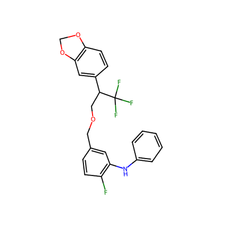 Fc1ccc(COCC(c2ccc3c(c2)OCO3)C(F)(F)F)cc1Nc1ccccc1